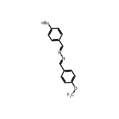 CCCCc1ccc(C=NN=Cc2ccc(OC(F)(F)F)cc2)cc1